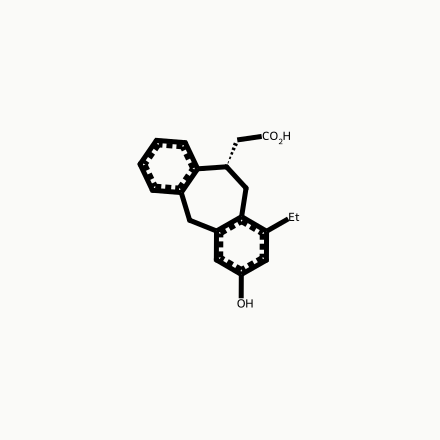 CCc1cc(O)cc2c1C[C@@H](CC(=O)O)c1ccccc1C2